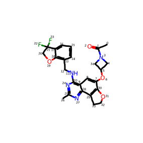 CC(=O)N1CC(Oc2cc3c(NCc4cccc5c4OCC5(F)F)nc(C)nc3c3c2OCC3)C1